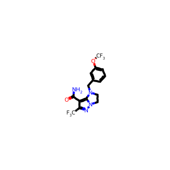 NC(=O)c1c(C(F)(F)F)nn2c1N(Cc1cccc(OC(F)(F)F)c1)CC2